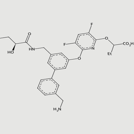 CCC(Oc1nc(Oc2cc(CNC(=O)[C@@H](O)CC(C)C)cc(-c3cccc(CN)c3)c2)c(F)cc1F)C(=O)O